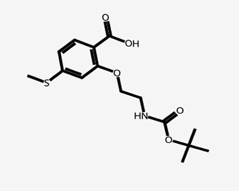 CSc1ccc(C(=O)O)c(OCCNC(=O)OC(C)(C)C)c1